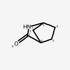 O=C1N[C]2CCC1C2